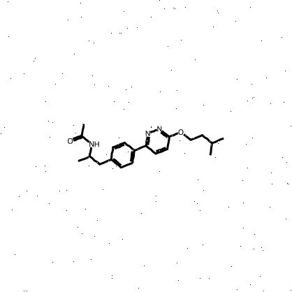 CC(=O)NC(C)Cc1ccc(-c2ccc(OCCC(C)C)nn2)cc1